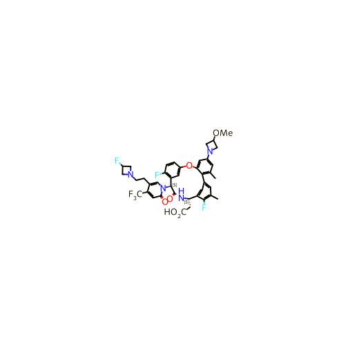 COC1CN(c2cc(C)c3c(c2)Oc2ccc(F)c(c2)[C@H](n2cc(CCN4CC(F)C4)c(C(F)(F)F)cc2=O)C(=O)N[C@@H](CC(=O)O)c2cc-3cc(C)c2F)C1